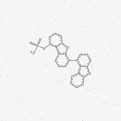 O=S(=O)(Oc1cccc2sc3c(-c4cccc5oc6ccccc6c45)cccc3c12)C(F)(F)F